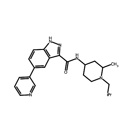 CC(C)CN1CCC(NC(=O)c2n[nH]c3ccc(-c4cccnc4)cc23)CC1C